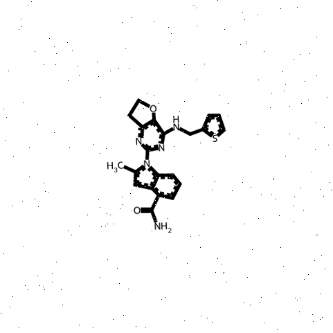 Cc1cc2c(C(N)=O)cccc2n1-c1nc2c(c(NCc3cccs3)n1)OCC2